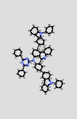 c1ccc(-c2nc(-c3ccccc3)nc(N3c4ccc(-c5ccc6c(c5)c5ccccc5n6-c5ccccc5)cc4-c4nc5ccccc5c5c(-c6ccc7c(c6)c6ccccc6n7-c6ccccc6)ccc3c45)n2)cc1